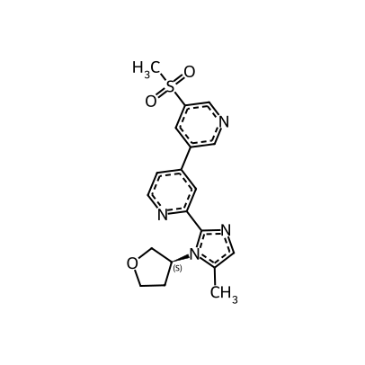 Cc1cnc(-c2cc(-c3cncc(S(C)(=O)=O)c3)ccn2)n1[C@H]1CCOC1